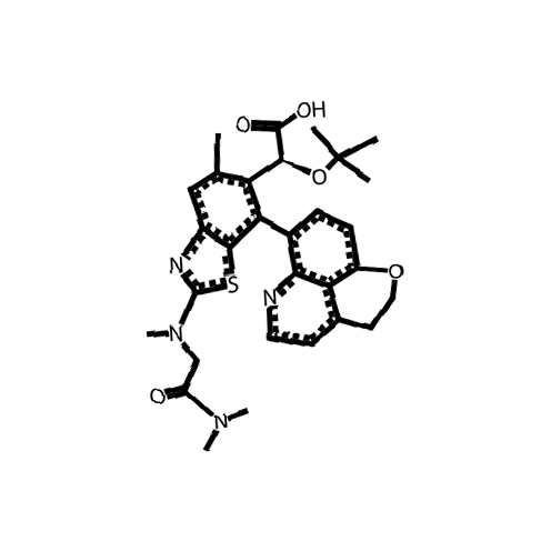 Cc1cc2nc(N(C)CC(=O)N(C)C)sc2c(-c2ccc3c4c(ccnc24)CCO3)c1[C@H](OC(C)(C)C)C(=O)O